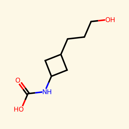 O=C(O)NC1CC(CCCO)C1